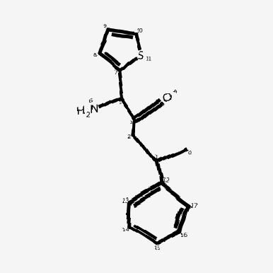 CC(CC(=O)C(N)c1cccs1)c1ccccc1